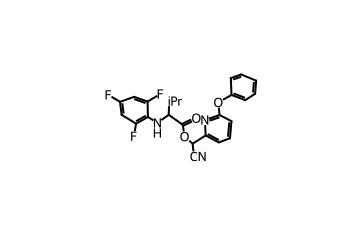 CC(C)C(Nc1c(F)cc(F)cc1F)C(=O)OC(C#N)c1cccc(Oc2ccccc2)n1